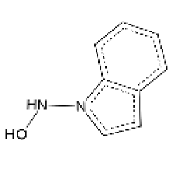 ONn1ccc2ccccc21